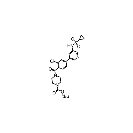 CC(C)(C)OC(=O)N1CCN(C(=O)c2ccc(-c3cncc(NS(=O)(=O)C4CC4)c3)cc2Cl)CC1